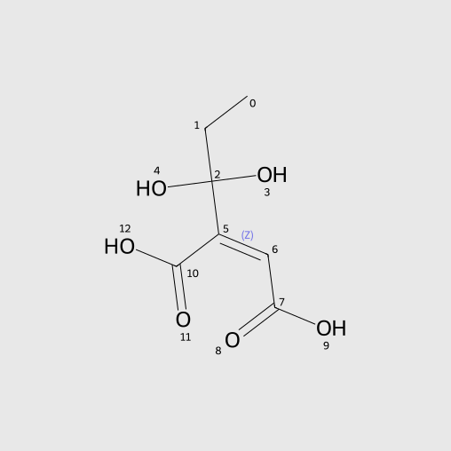 CCC(O)(O)/C(=C/C(=O)O)C(=O)O